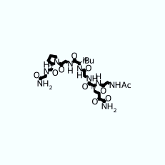 CC[C@@H](C)C(NC(=O)CNC(=O)[C@H](CCC(=O)C(N)=O)NC(=O)CNC(C)=O)C(=O)NCC(=O)N1CCC[C@H]1C(=O)NCC(N)=O